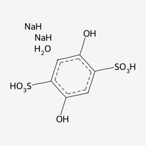 O.O=S(=O)(O)c1cc(O)c(S(=O)(=O)O)cc1O.[NaH].[NaH]